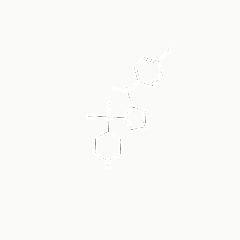 C[C@H](c1ccc(F)cc1)n1cncc1C(C)(O)C1CCNCC1